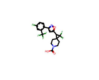 O=C(O)N1CCC2(CC1)C(c1cc(-c3ccc(F)cc3C(F)(F)F)no1)C2(F)F